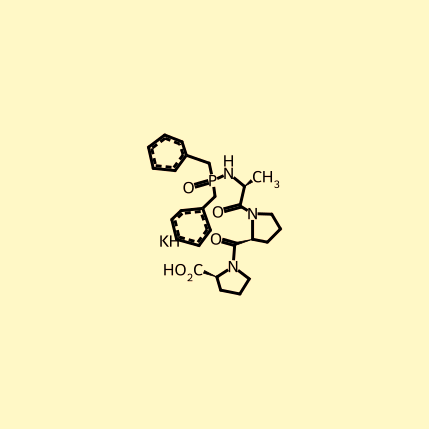 C[C@H](NP(=O)(Cc1ccccc1)Cc1ccccc1)C(=O)N1CCC[C@H]1C(=O)N1CCC[C@H]1C(=O)O.[KH]